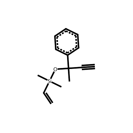 C#CC(C)(O[Si](C)(C)C=C)c1ccccc1